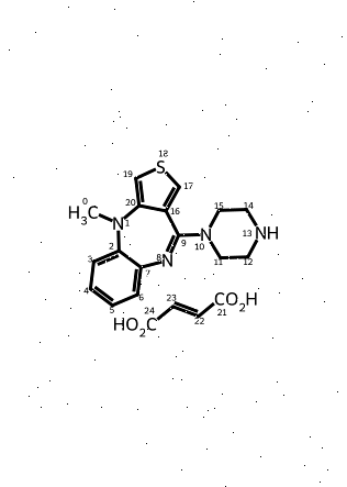 CN1c2ccccc2N=C(N2CCNCC2)c2cscc21.O=C(O)/C=C/C(=O)O